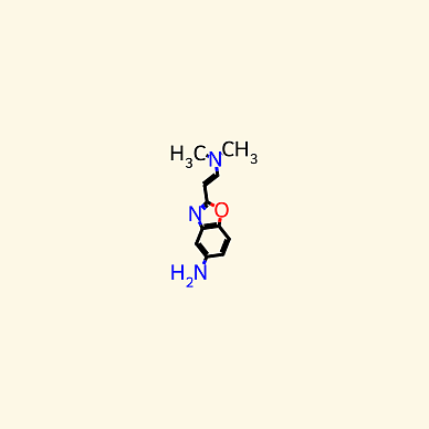 CN(C)C=Cc1nc2cc(N)ccc2o1